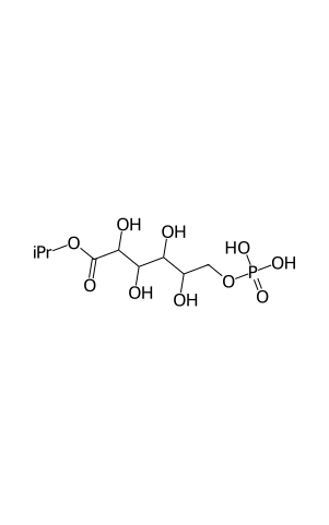 CC(C)OC(=O)C(O)C(O)C(O)C(O)COP(=O)(O)O